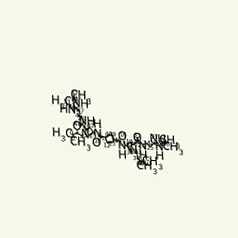 CC(C)CCn1cc(NC(=O)c2ccc(C(=O)Nc3cc(C(=O)NCCC(=N)NC(C)C)n(CCC(C)C)c3)cc2)cc1C(=O)NCCC(=N)NC(C)C